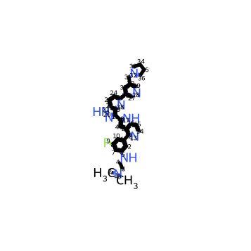 CN(C)CCNc1cc(F)cc(-c2nccc3[nH]c(-c4n[nH]c5ccc(-c6cncc(CN7CCCC7)c6)nc45)cc23)c1